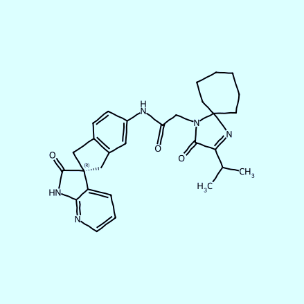 CC(C)C1=NC2(CCCCCC2)N(CC(=O)Nc2ccc3c(c2)C[C@@]2(C3)C(=O)Nc3ncccc32)C1=O